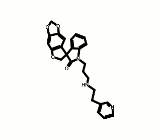 O=C1N(CCCNCCc2cccnc2)c2ccccc2C12COc1cc3c(cc12)OCO3